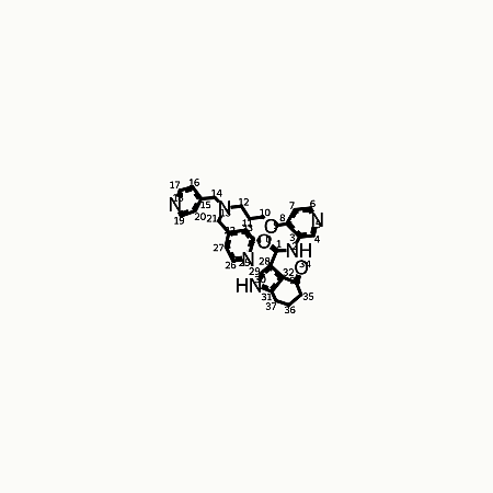 O=C(Nc1cnccc1OCCCN(Cc1ccncc1)Cc1ccncc1)c1c[nH]c2c1C(=O)CCC2